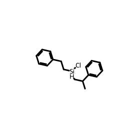 CC(C[SiH](Cl)CCc1ccccc1)c1ccccc1